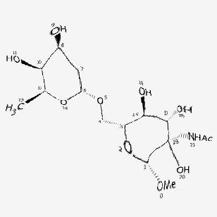 CO[C@@H]1O[C@H](CO[C@H]2C[C@H](O)[C@H](O)[C@H](C)O2)[C@@H](O)[C@H](O)[C@]1(O)NC(C)=O